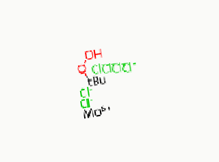 CC(C)(C)OO.[Cl-].[Cl-].[Cl-].[Cl-].[Cl-].[Cl-].[Mo+6]